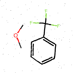 COC.FC(F)(F)c1ccccc1